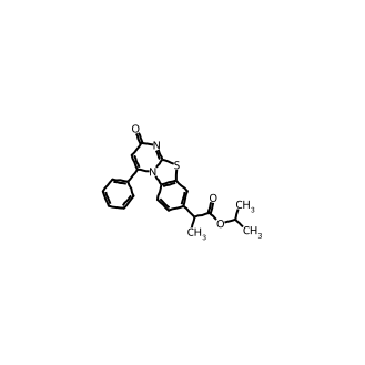 CC(C)OC(=O)C(C)c1ccc2c(c1)sc1nc(=O)cc(-c3ccccc3)n12